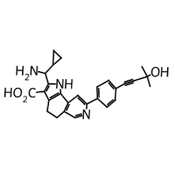 CC(C)(O)C#Cc1ccc(-c2cc3c(cn2)CCc2c-3[nH]c(C(N)C3CC3)c2C(=O)O)cc1